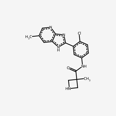 Cc1cnc2nc(-c3cc(NC(=O)C4(C)CNC4)ccc3Cl)[nH]c2c1